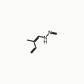 C=C/C(C)=C\NN=C